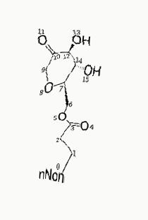 CCCCCCCCCCCC(=O)OC[C@H]1OCC(=O)[C@@H](O)[C@@H]1O